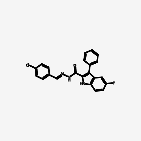 O=C(NN=Cc1ccc(Cl)cc1)c1[nH]c2ccc(F)cc2c1-c1ccccc1